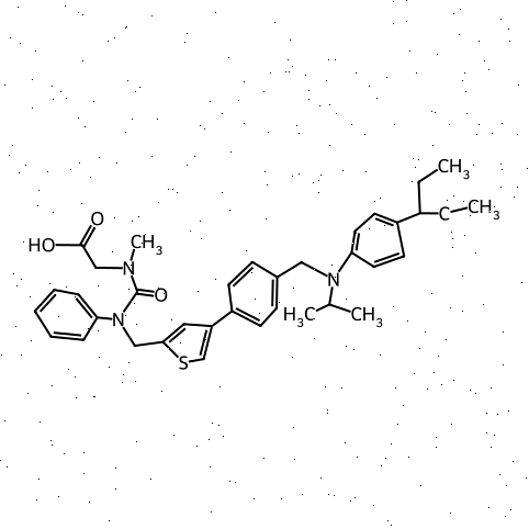 CCC(CC)c1ccc(N(Cc2ccc(-c3csc(CN(C(=O)N(C)CC(=O)O)c4ccccc4)c3)cc2)C(C)C)cc1